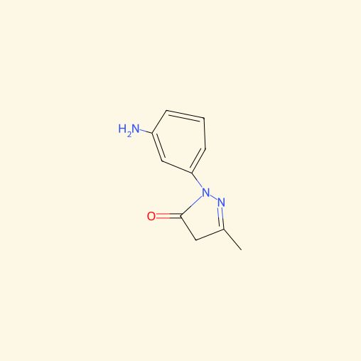 CC1=NN(c2cccc(N)c2)C(=O)C1